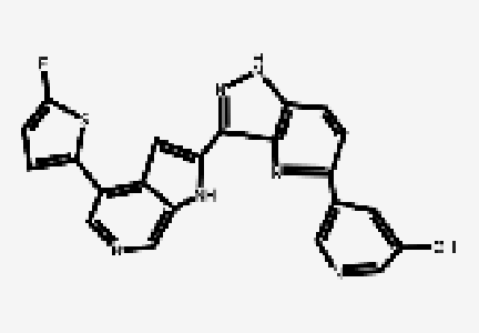 Oc1cncc(-c2ccc3[nH]nc(-c4cc5c(-c6ccc(F)s6)cncc5[nH]4)c3n2)c1